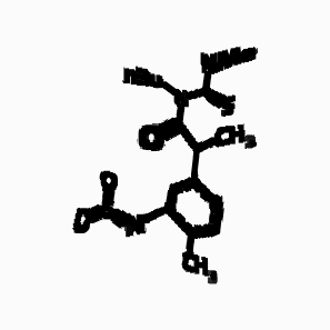 CCCCN(C(=O)C(C)c1ccc(C)c(N=S(=O)=O)c1)C(=S)NC